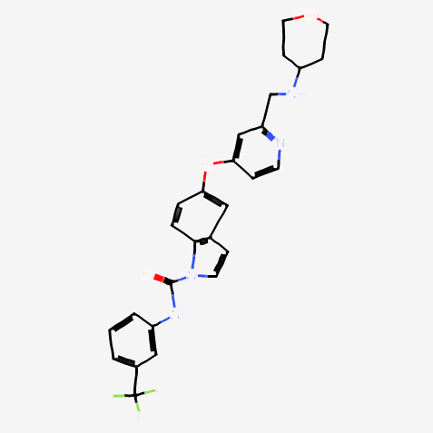 O=C(Nc1cccc(C(F)(F)F)c1)n1ccc2cc(Oc3ccnc(CNC4CCOCC4)c3)ccc21